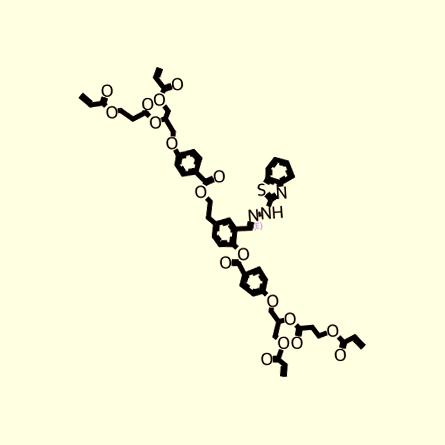 C=CC(=O)OCCC(=O)OC(COC(=O)C=C)COc1ccc(C(=O)OCCc2ccc(OC(=O)c3ccc(OCC(COC(=O)C=C)OC(=O)CCOC(=O)C=C)cc3)c(/C=N/Nc3nc4ccccc4s3)c2)cc1